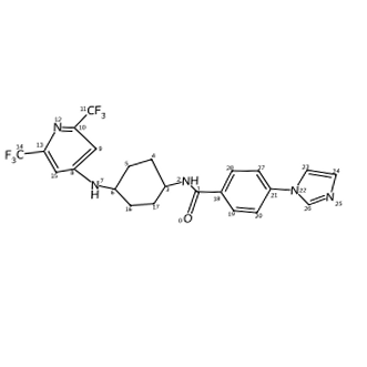 O=C(NC1CCC(Nc2cc(C(F)(F)F)nc(C(F)(F)F)c2)CC1)c1ccc(-n2ccnc2)cc1